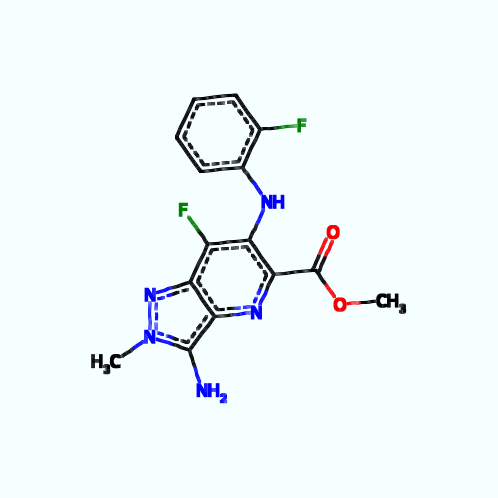 COC(=O)c1nc2c(N)n(C)nc2c(F)c1Nc1ccccc1F